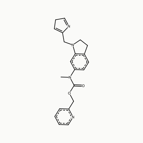 CN(C(=O)OCc1ccccn1)c1ccc2c(c1)N(CC1=CCC=N1)CC2